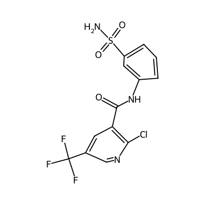 NS(=O)(=O)c1cccc(NC(=O)c2cc(C(F)(F)F)cnc2Cl)c1